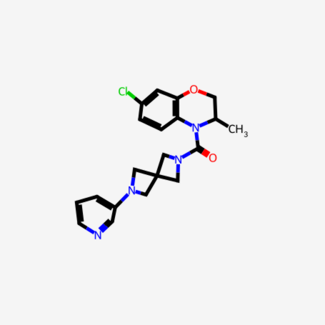 CC1COc2cc(Cl)ccc2N1C(=O)N1CC2(C1)CN(c1cccnc1)C2